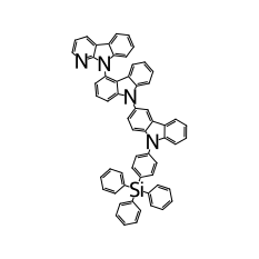 c1ccc([Si](c2ccccc2)(c2ccccc2)c2ccc(-n3c4ccccc4c4cc(-n5c6ccccc6c6c(-n7c8ccccc8c8cccnc87)cccc65)ccc43)cc2)cc1